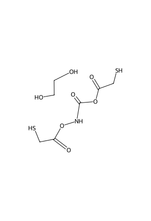 O=C(CS)ONC(=O)OC(=O)CS.OCCO